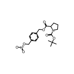 CC(C)(C)OC(=O)N1CCCC1C(=O)OCc1ccc(CO[N+](=O)[O-])cc1